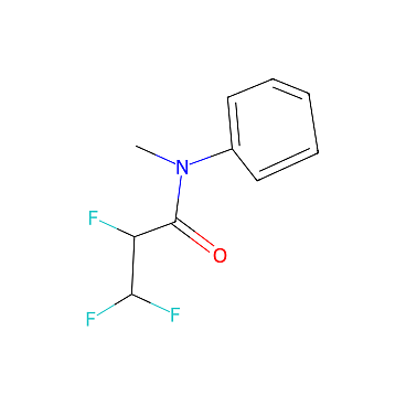 CN(C(=O)C(F)C(F)F)c1ccccc1